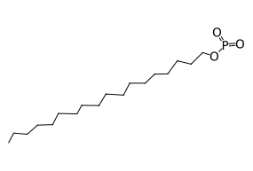 CCCCCCCCCCCCCCCCCCOP(=O)=O